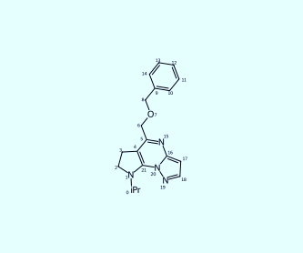 CC(C)N1CCc2c(COCc3ccccc3)nc3ccnn3c21